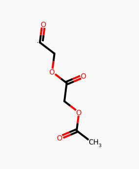 CC(=O)OCC(=O)OC[C]=O